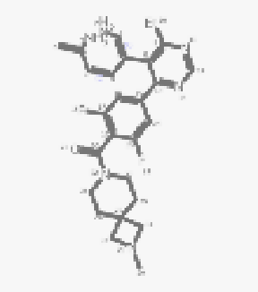 C=C(N)/C=C\C(=C/N)c1c(CC)ncnc1-c1cc(F)c(C(=O)N2CCC3(CC2)CN(C)C3)c(F)c1